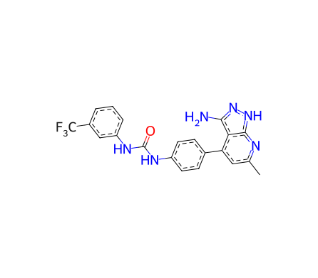 Cc1cc(-c2ccc(NC(=O)Nc3cccc(C(F)(F)F)c3)cc2)c2c(N)n[nH]c2n1